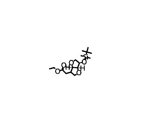 CCOC(=O)CC1CO[C@H]2[C@@H]1OC[C@H]2O[Si](C)(C)C(C)(C)C